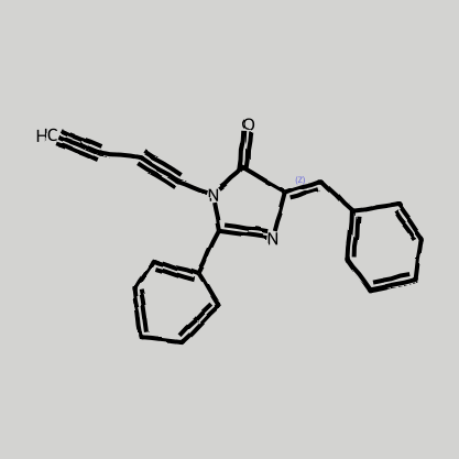 C#CC#CN1C(=O)/C(=C/c2ccccc2)N=C1c1ccccc1